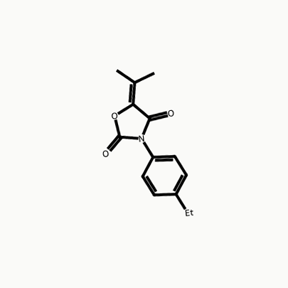 CCc1ccc(N2C(=O)OC(=C(C)C)C2=O)cc1